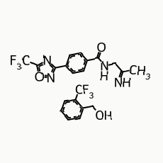 CC(=N)CNC(=O)c1ccc(-c2noc(C(F)(F)F)n2)cc1.OCc1ccccc1C(F)(F)F